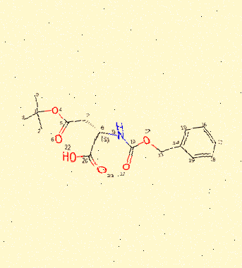 CC(C)(C)OC(=O)C[C@H](NC(=O)OCc1ccccc1)C(=O)O